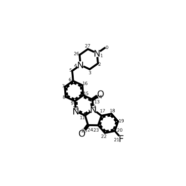 CN1CCN(Cc2ccc3nc4n(c(=O)c3c2)-c2ccc(F)cc2C4=O)CC1